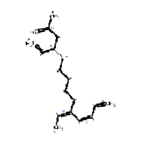 C=C/C=C\C(=C/C)CCCCC[C@H](C=C)CC(C)=O